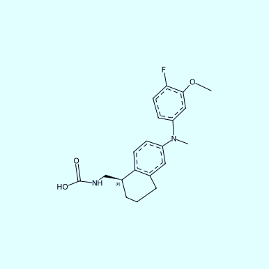 COc1cc(N(C)c2ccc3c(c2)CCC[C@H]3CNC(=O)O)ccc1F